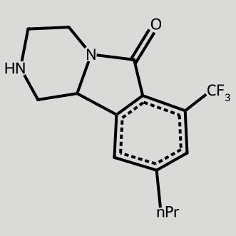 CCCc1cc2c(c(C(F)(F)F)c1)C(=O)N1CCNCC21